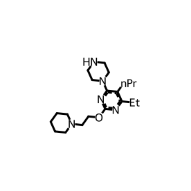 CCCc1c(CC)nc(OCCN2CCCCC2)nc1N1CCNCC1